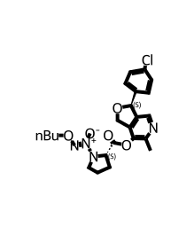 CCCCON=[N+]([O-])N1CCC[C@H]1C(=O)Oc1c(C)ncc2c1CO[C@H]2c1ccc(Cl)cc1